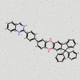 c1ccc(C2(c3ccccc3)c3ccccc3-c3cc4c(cc32)Oc2ccc(-c3ccc(-c5ncc6ccccc6n5)cc3)cc2O4)cc1